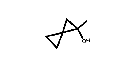 CC1(O)CC12CC2